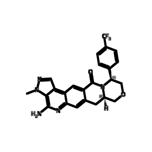 Cn1ncc2c3cc4c(cc3nc(N)c21)C[C@@H]1COC[C@H](c2ccc(C(F)(F)F)cc2)N1C4=O